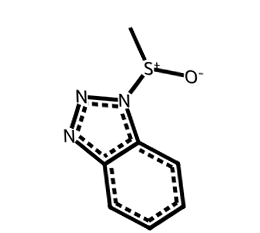 C[S+]([O-])n1nnc2ccccc21